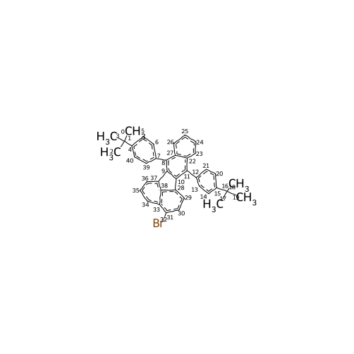 CC(C)(C)c1ccc(-c2c3c(c(-c4ccc(C(C)(C)C)cc4)c4ccccc24)-c2ccc(Br)c4cccc-3c24)cc1